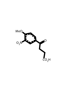 COc1ccc(C(=O)CCC(=O)O)cc1[N+](=O)[O-]